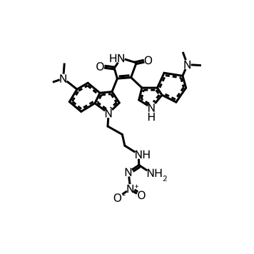 CN(C)c1ccc2[nH]cc(C3=C(c4cn(CCCNC(N)=N[N+](=O)[O-])c5ccc(N(C)C)cc45)C(=O)NC3=O)c2c1